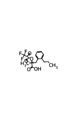 CCCc1ccccc1C[C@@](C)(OS(=O)(=O)C(F)(F)F)C(=O)O